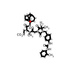 Cc1ccccc1NC(=O)Nc1ccc(CN2C(=O)N(CC(=O)N(C)[C@@H](CC(=O)O)C(=O)NC3C4CC5CC6CC3C6(C5)C4)C(=O)C2(C)C)cc1